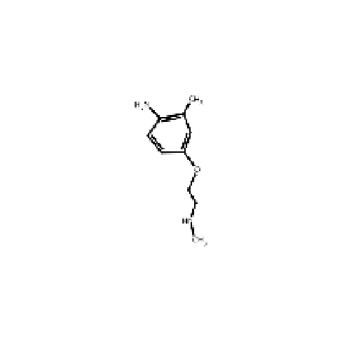 CNCCOc1ccc(N)c(C)c1